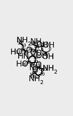 C[C@@H](O)C(CO)O[C@H](O[C@@H]1C(O)C(O[C@H]2O[C@H](CN)CCC2N)[C@@H](N)[C@@H](O)C1NC(=O)[C@@H](O)CCN)[C@@H](O)CN